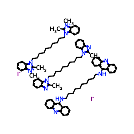 Cc1n(CCCCCCCCCCn2c(C)[n+](C)c3ccccc32)c2ccccc2[n+]1C.Cc1nc2ccccc2n1CCCCCCCCCCn1c(C)nc2ccccc21.[I-].[I-].c1ccc2c(NCCCCCCCCCCNc3c4ccccc4nc4ccccc34)c3ccccc3nc2c1